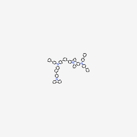 c1ccc(-c2ccc(N(c3ccc(-c4ccccc4)cc3)c3cccc(-c4cccc5c6cc(-c7cccc(-c8ccc(N(c9ccc(-c%10ccccc%10)cc9)c9ccc%10cc(-c%11ccc(-n%12c%13ccccc%13c%13ccccc%13%12)cc%11)ccc%10c9)cc8)c7)ccc6n(-c6ccccc6)c45)c3)cc2)cc1